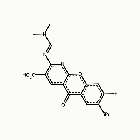 CC(C)c1cc2c(=O)c3cc(C(=O)O)c(N=CN(C)C)nc3oc2cc1F